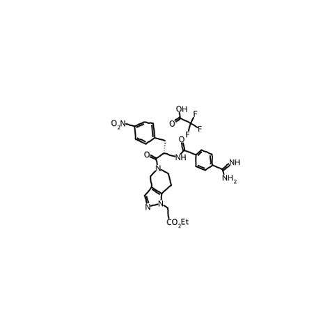 CCOC(=O)Cn1ncc2c1CCN(C(=O)[C@H](Cc1ccc([N+](=O)[O-])cc1)NC(=O)c1ccc(C(=N)N)cc1)C2.O=C(O)C(F)(F)F